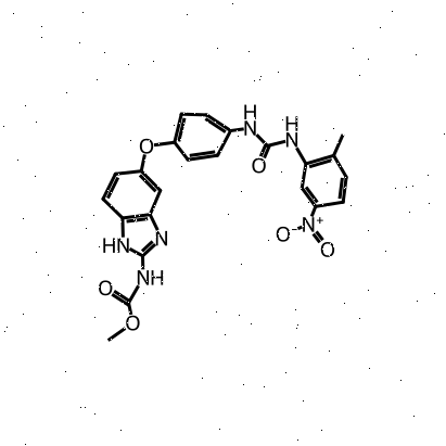 COC(=O)Nc1nc2cc(Oc3ccc(NC(=O)Nc4cc([N+](=O)[O-])ccc4C)cc3)ccc2[nH]1